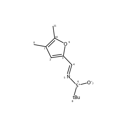 Cc1cc(/C=N/[S+]([O-])C(C)(C)C)oc1C